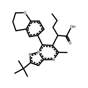 CCCC(C(=O)O)c1c(C)nc2cc(C(C)(C)C)nn2c1-c1ccc2c(c1)CCCO2